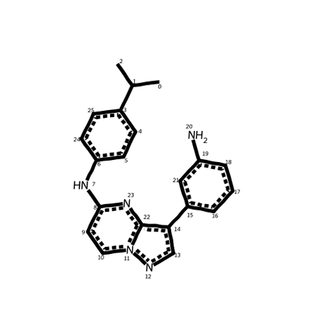 CC(C)c1ccc(Nc2ccn3ncc(-c4cccc(N)c4)c3n2)cc1